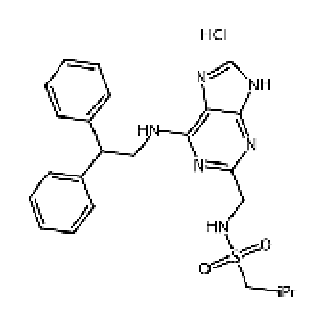 CC(C)CS(=O)(=O)NCc1nc(NCC(c2ccccc2)c2ccccc2)c2nc[nH]c2n1.Cl